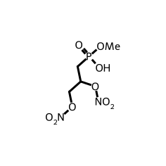 COP(=O)(O)CC(CO[N+](=O)[O-])O[N+](=O)[O-]